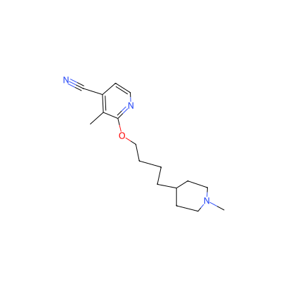 Cc1c(C#N)ccnc1OCCCCC1CCN(C)CC1